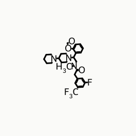 CN(CC(c1cccc2c1OCO2)N1CCC(N2CCCCC2)CC1)C(=O)Cc1cc(F)cc(C(F)(F)F)c1